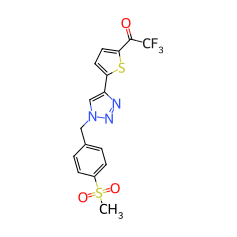 CS(=O)(=O)c1ccc(Cn2cc(-c3ccc(C(=O)C(F)(F)F)s3)nn2)cc1